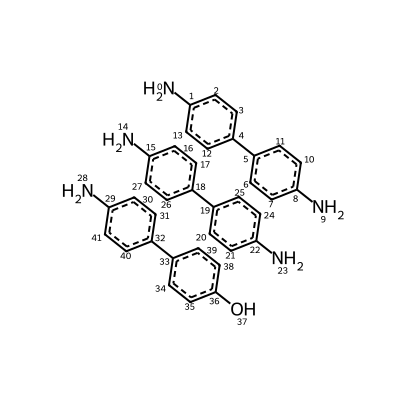 Nc1ccc(-c2ccc(N)cc2)cc1.Nc1ccc(-c2ccc(N)cc2)cc1.Nc1ccc(-c2ccc(O)cc2)cc1